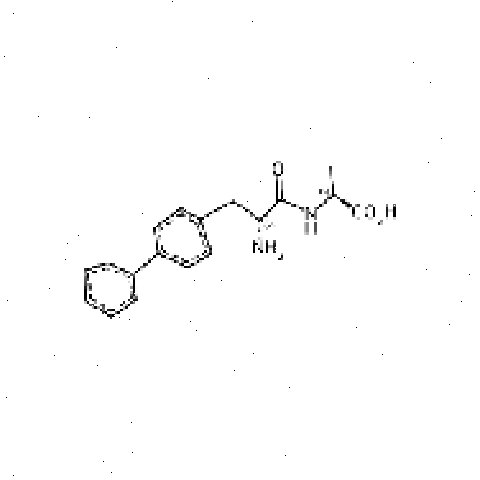 C[C@H](NC(=O)[C@H](N)Cc1ccc(-c2ccccc2)cc1)C(=O)O